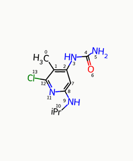 Cc1c(NC(N)=O)cc(NC(C)C)nc1Cl